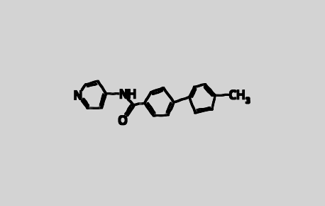 Cc1ccc(-c2ccc(C(=O)Nc3ccncc3)cc2)cc1